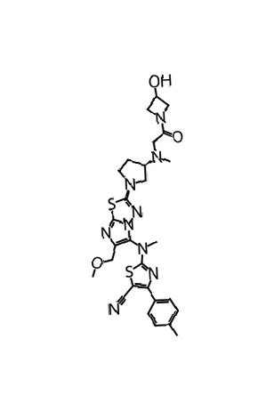 COCc1nc2sc(N3CC[C@@H](N(C)CC(=O)N4CC(O)C4)C3)nn2c1N(C)c1nc(-c2ccc(C)cc2)c(C#N)s1